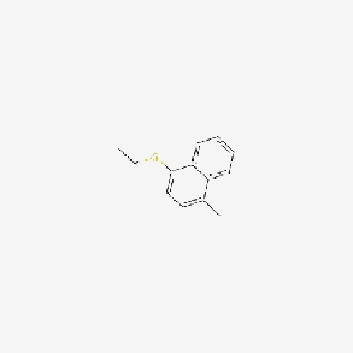 CCSc1ccc(C)c2ccccc12